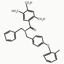 Cc1ccccc1Oc1ccc(CN(Cc2ccccc2)C(=O)c2cc(C(=O)O)c(C(=O)O)cc2C(=O)O)cc1